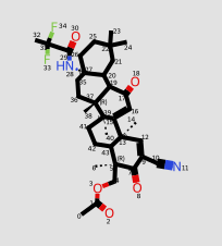 CC(=O)OC[C@]1(C)C(=O)C(C#N)=C[C@]2(C)C3=CC(=O)C4C5CC(C)(C)CC[C@]5(NC(=O)C(C)(F)F)CC[C@@]4(C)[C@]3(C)CCC21